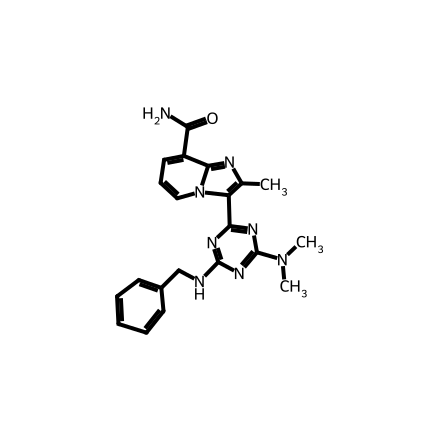 Cc1nc2c(C(N)=O)cccn2c1-c1nc(NCc2ccccc2)nc(N(C)C)n1